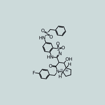 O=C1C(C2=NS(=O)(=O)c3cc(NS(=O)(=O)Cc4ccccc4)ccc3N2)C(O)[C@@H]2CCC[C@@H]2N1Cc1ccc(F)cc1